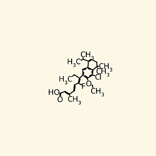 CCOc1c(C(CC)=C(F)C=CC(C)=CC(=O)O)cc2c(c1Cl)C(C)(C)CC=C2C(C)C